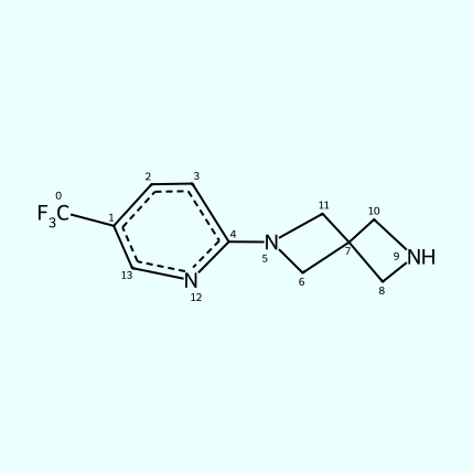 FC(F)(F)c1ccc(N2CC3(CNC3)C2)nc1